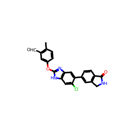 Cc1ccc(Oc2nc3cc(-c4ccc5c(c4)CNC5=O)c(Cl)cc3[nH]2)cc1C=O